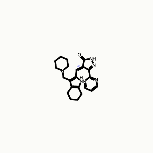 O=C1NN=C(c2ncccn2)/C1=C\c1[nH]c2c(c1CN1CCCCC1)CCCC2